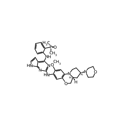 COc1cc2c(cc1Nc1nc(Nc3ccccc3P(C)(C)=O)c3cc[nH]c3n1)OC[C@H]1C[C@H](N3CCOCC3)CCN21